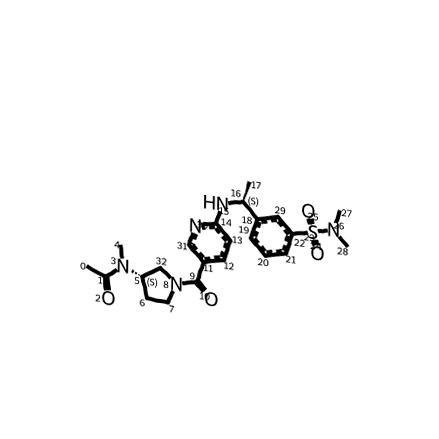 CC(=O)N(C)[C@H]1CCN(C(=O)c2ccc(N[C@@H](C)c3cccc(S(=O)(=O)N(C)C)c3)nc2)C1